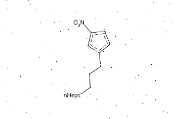 CCCCCCCCCCc1csc([N+](=O)[O-])c1